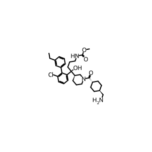 CCc1cccc(-c2c(Cl)cccc2[C@](O)(CCCNC(=O)OC)[C@@H]2CCCN(C(=O)[C@H]3CC[C@H](CN)CC3)C2)c1